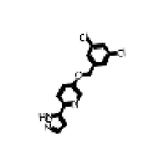 Clc1cc(Cl)cc(COc2ccc(-c3ccn[nH]3)nc2)c1